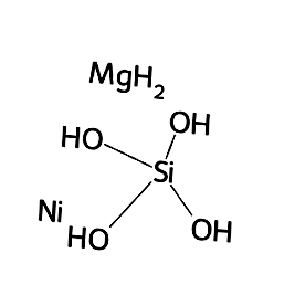 O[Si](O)(O)O.[MgH2].[Ni]